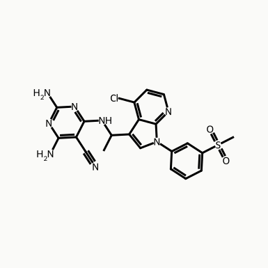 CC(Nc1nc(N)nc(N)c1C#N)c1cn(-c2cccc(S(C)(=O)=O)c2)c2nccc(Cl)c12